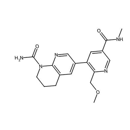 CNC(=O)c1cnc(COC)c(-c2cnc3c(c2)CCCN3C(N)=O)c1